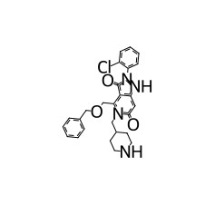 O=c1c2c(COCc3ccccc3)n(CC3CCNCC3)c(=O)cc2[nH]n1-c1ccccc1Cl